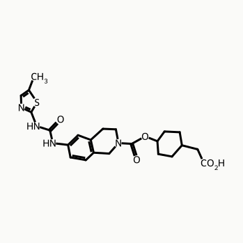 Cc1cnc(NC(=O)Nc2ccc3c(c2)CCN(C(=O)OC2CCC(CC(=O)O)CC2)C3)s1